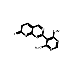 COc1ncnc(OC)c1-c1ncc2c(n1)=NC(=O)CC=2